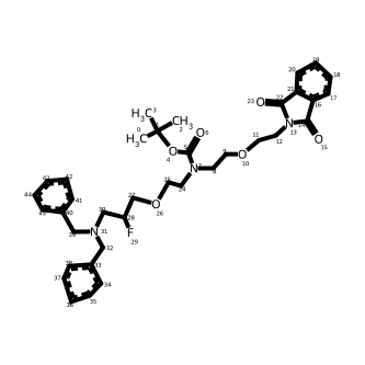 CC(C)(C)OC(=O)N(CCOCCN1C(=O)c2ccccc2C1=O)CCOCC(F)CN(Cc1ccccc1)Cc1ccccc1